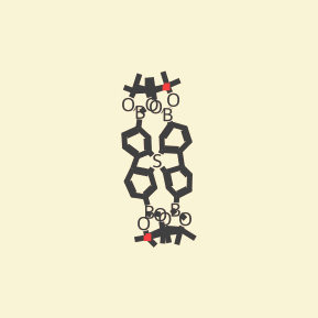 CC1(C)OB(c2ccc3c(c2)S2(c4cc(B5OC(C)(C)C(C)(C)O5)ccc4-3)c3cc(B4OC(C)(C)C(C)(C)O4)ccc3-c3ccc(B4OC(C)(C)C(C)(C)O4)cc32)OC1(C)C